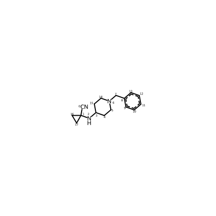 N#CC1(NC2CCN(Cc3ccccc3)CC2)CC1